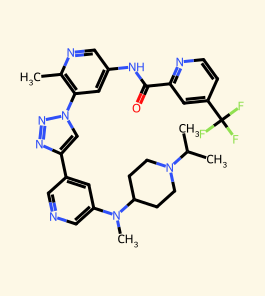 Cc1ncc(NC(=O)c2cc(C(F)(F)F)ccn2)cc1-n1cc(-c2cncc(N(C)C3CCN(C(C)C)CC3)c2)nn1